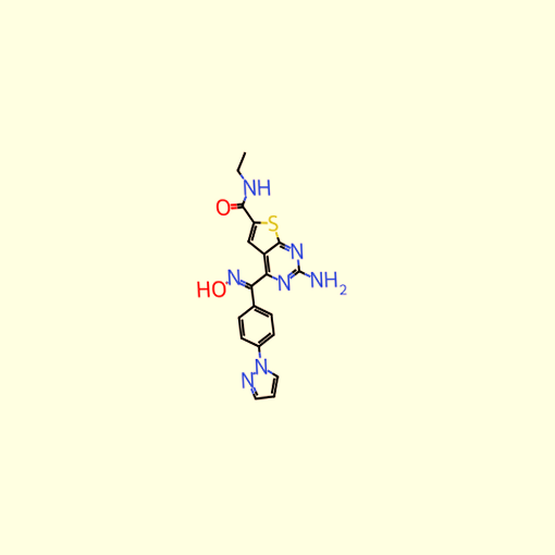 CCNC(=O)c1cc2c(C(=NO)c3ccc(-n4cccn4)cc3)nc(N)nc2s1